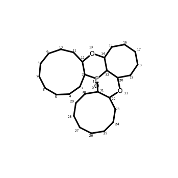 O=P12C3CCCCCCCCCC3OC3CCCCCC(OC4CCCCCCCCC41)C32